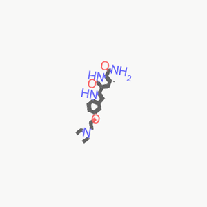 CCN(CC)CCOc1ccc2[nH]c(-c3c[c]c(C(N)=O)[nH]c3=O)cc2c1